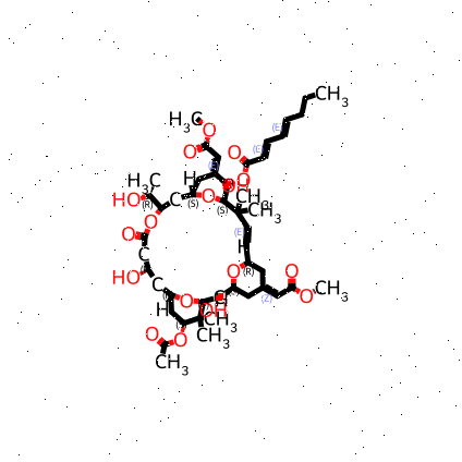 CCC/C=C/C=C/C(=O)O[C@H]1/C(=C/C(=O)OC)C[C@H]2CC([C@@H](C)O)OC(=O)C[C@H](O)C[C@@H]3C[C@H](OC(C)=O)C(C)(C)[C@](O)(C[C@@H]4C/C(=C/C(=O)OC)C[C@H](/C=C/C(C)(C)[C@]1(O)O2)O4)O3